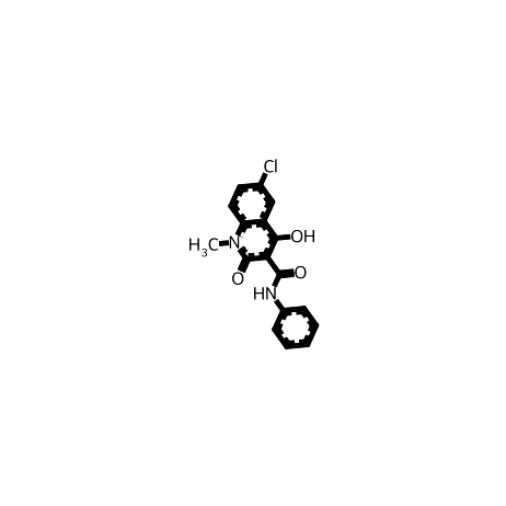 Cn1c(=O)c(C(=O)Nc2ccccc2)c(O)c2cc(Cl)ccc21